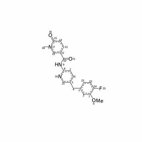 COc1cc(Cc2ccc(NC(=O)c3ccc(=O)n(C)c3)nc2)ccc1F